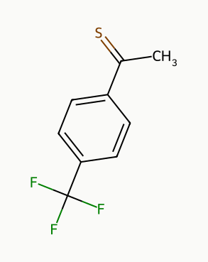 CC(=S)c1ccc(C(F)(F)F)cc1